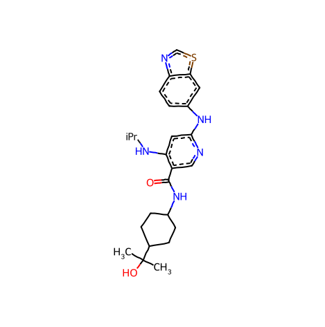 CC(C)Nc1cc(Nc2ccc3ncsc3c2)ncc1C(=O)NC1CCC(C(C)(C)O)CC1